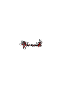 CC(C)[C@@H](CS(=O)(=O)C(C)C)N1C(=O)[C@@](C)(CC(=O)NCCCOCCOCCOCCCNc2cccc3c2C(=O)N(C2CCC(=O)NC2=O)C3=O)C[C@H](c2cccc(Cl)c2)[C@H]1c1ccc(Cl)cc1